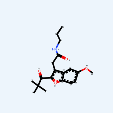 CCCNC(=O)Cc1c(C(=O)C(C)(C)C)oc2ccc(OC)cc12